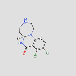 O=C1N[C@H]2CCNCCN2c2ccc(Cl)c(Cl)c21